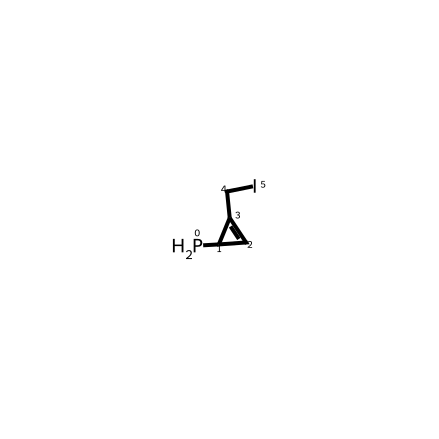 PC1C=C1CI